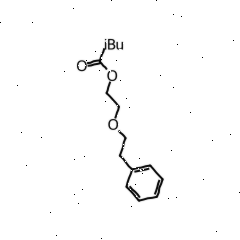 CCC(C)C(=O)OCCOCCc1ccccc1